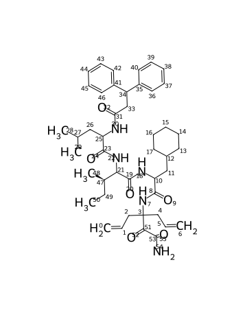 C=CCC(CC=C)(NC(=O)C(CC1CCCCC1)NC(=O)C(NC(=O)C(CC(C)C)NC(=O)CC(c1ccccc1)c1ccccc1)[C@H](C)CC)C(=O)C(N)=O